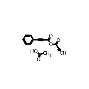 C#CC(=O)OC(=O)C#Cc1ccccc1.CC(=O)O